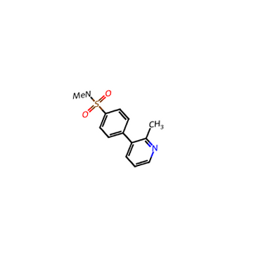 CNS(=O)(=O)c1ccc(-c2cccnc2C)cc1